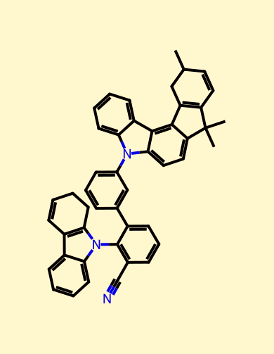 CC1C=CC2=C(C1)c1c(ccc3c1c1ccccc1n3-c1cccc(-c3cccc(C#N)c3-n3c4c(c5ccccc53)C=CCC4)c1)C2(C)C